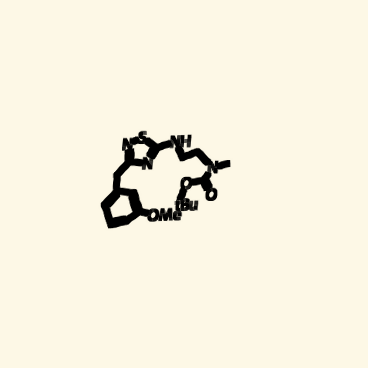 COc1cccc(Cc2nsc(NCCN(C)C(=O)OC(C)(C)C)n2)c1